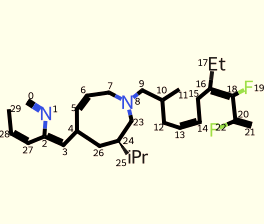 C=NC(=CC1C=CCN(CC(C)C/C=C\C/C(CC)=C(/F)C(=C)F)C[C@@H](C(C)C)C1)/C=C\C